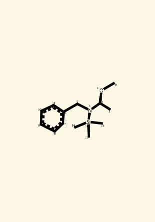 COC(C)N(Cc1ccccc1)[Si](C)(C)C